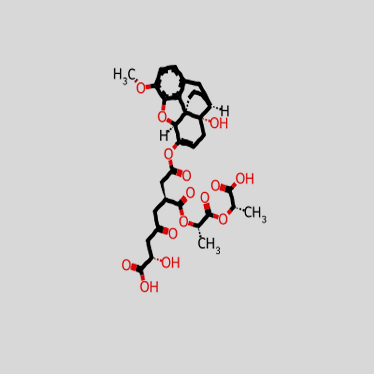 COc1ccc2c3c1O[C@@H]1C(OC(=O)C[C@H](CC(=O)C[C@H](O)C(=O)O)C(=O)O[C@@H](C)C(=O)O[C@@H](C)C(=O)O)=CC[C@]4(O)[C@@H](CCC[C@@]314)C2